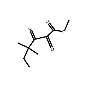 CCC(C)(C)C(=O)C(=O)C(=O)OC